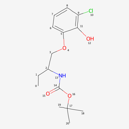 CCC(COc1cccc(Cl)c1O)NC(=O)OC(C)(C)C